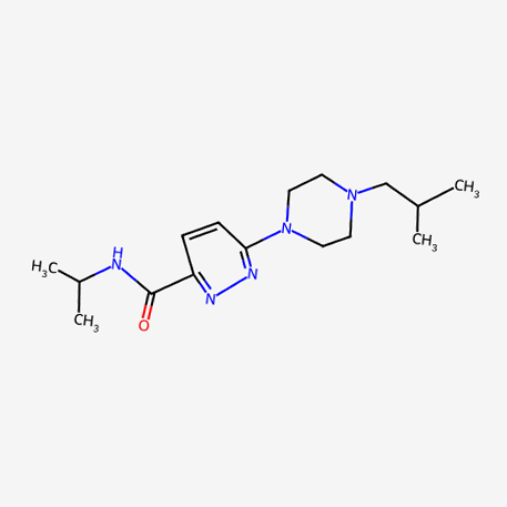 CC(C)CN1CCN(c2ccc(C(=O)NC(C)C)nn2)CC1